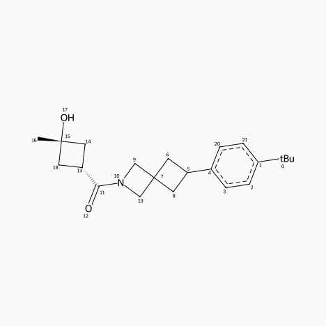 CC(C)(C)c1ccc(C2CC3(C2)CN(C(=O)[C@H]2C[C@@](C)(O)C2)C3)cc1